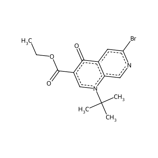 CCOC(=O)c1cn(C(C)(C)C)c2cnc(Br)cc2c1=O